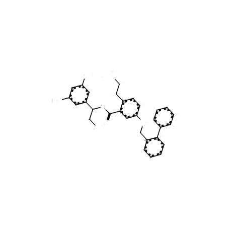 Cc1cc(C)cc(C(CC(C)C)NC(=O)c2cc(OCc3ccccc3-c3ccccc3)ccc2CCC(=O)O)c1